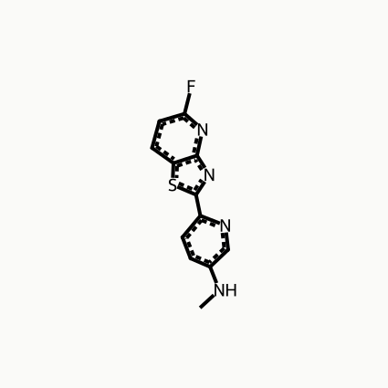 CNc1ccc(-c2nc3nc(F)ccc3s2)nc1